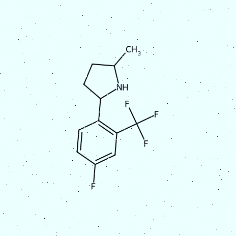 CC1CCC(c2ccc(F)cc2C(F)(F)F)N1